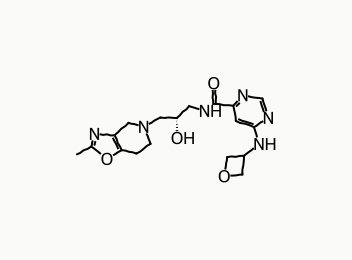 Cc1nc2c(o1)CCN(C[C@@H](O)CNC(=O)c1cc(NC3COC3)ncn1)C2